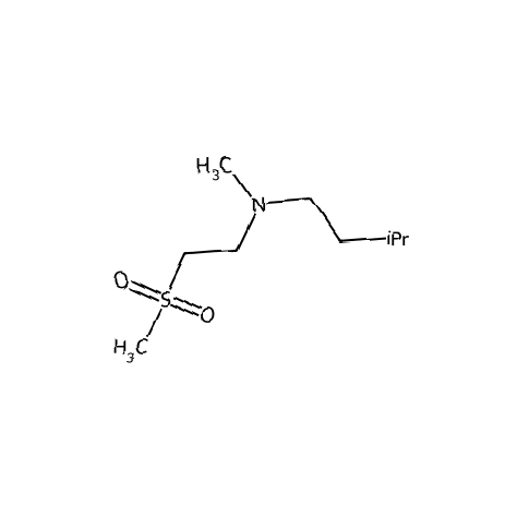 CC(C)CCN(C)CCS(C)(=O)=O